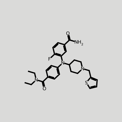 CCN(CC)C(=O)c1ccc(N(c2cc(C(N)=O)ccc2F)C2CCN(Cc3cccs3)CC2)cc1